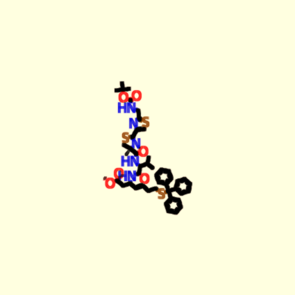 COC(=O)CC(/C=C/CCSC(c1ccccc1)(c1ccccc1)c1ccccc1)NC(=O)[C@@H](NC(=O)[C@]1(C)CSC(c2csc(CNC(=O)OC(C)(C)C)n2)=N1)C(C)C